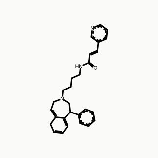 O=C(C=Cc1cccnc1)NCCCCN1CC=C2CC=CC=C2C(c2ccccc2)C1